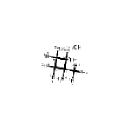 Cl.[2H]C([2H])([2H])C1(N)C([2H])([2H])C([2H])([2H])C1([2H])[2H]